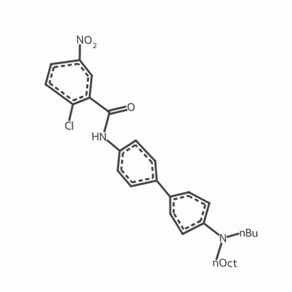 CCCCCCCCN(CCCC)c1ccc(-c2ccc(NC(=O)c3cc([N+](=O)[O-])ccc3Cl)cc2)cc1